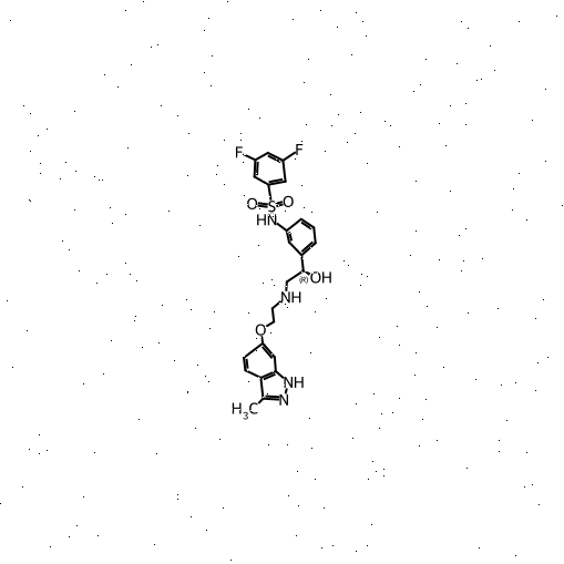 Cc1n[nH]c2cc(OCCNC[C@H](O)c3cccc(NS(=O)(=O)c4cc(F)cc(F)c4)c3)ccc12